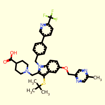 Cc1cnc(COc2ccc3c(c2)c(SC(C)(C)C)c(CN2CCC(C(=O)O)CC2)n3Cc2ccc(-c3ccc(C(F)(F)F)nc3)cc2)cn1